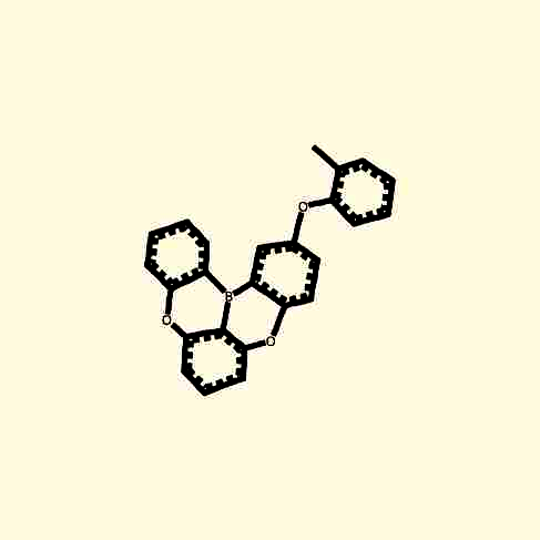 Cc1ccccc1Oc1ccc2c(c1)B1c3ccccc3Oc3cccc(c31)O2